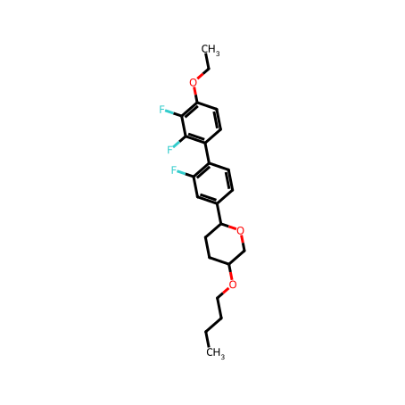 CCCCOC1CCC(c2ccc(-c3ccc(OCC)c(F)c3F)c(F)c2)OC1